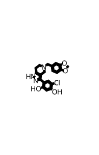 Oc1cc(O)c(-c2n[nH]c3c2CN(Cc2ccc4c(c2)OCO4)CC3)cc1Cl